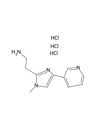 Cl.Cl.Cl.Cn1cc(-c2cccnc2)nc1CCN